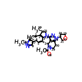 C#CC1=C(/C=C\Cc2cnn(C)c2)N(c2nn([C@H]3CCOC3)c3c2CN(C(C)=O)CC3)C[C@H]1C